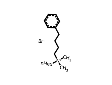 CCCCCC[N+](C)(C)CCCCc1ccccc1.[Br-]